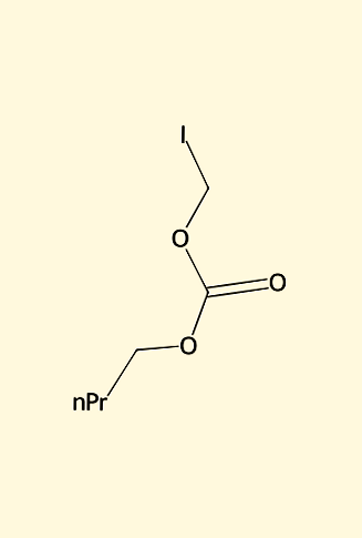 CCCCOC(=O)OCI